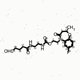 C[C@@H]1CC(=O)N(CCOC(=O)NCCNC(=O)CCCC=O)c2cc(F)ccc2O1